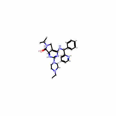 CCN1CCN(c2nc(NC(c3ccccc3)c3ccccn3)c3c(n2)C(=O)N(C(C)C)C3)CC1